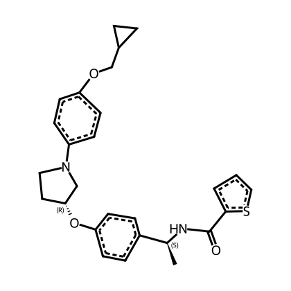 C[C@H](NC(=O)c1cccs1)c1ccc(O[C@@H]2CCN(c3ccc(OCC4CC4)cc3)C2)cc1